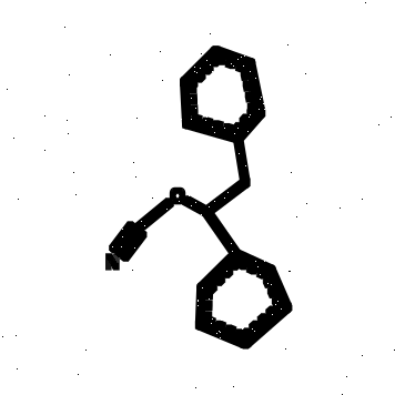 N#COC(Cc1ccccc1)c1ccccc1